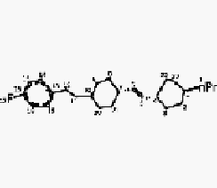 CCC[C@H]1CC[C@H](C=C[C@H]2CC[C@H](CCc3ccc(F)cc3)CC2)CC1